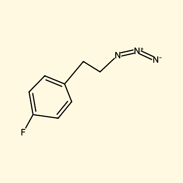 [N-]=[N+]=NCCc1ccc(F)cc1